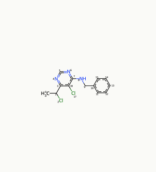 CC(Cl)c1ncnc(NCc2ccccc2)c1Cl